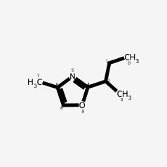 CCC(C)c1nc(C)co1